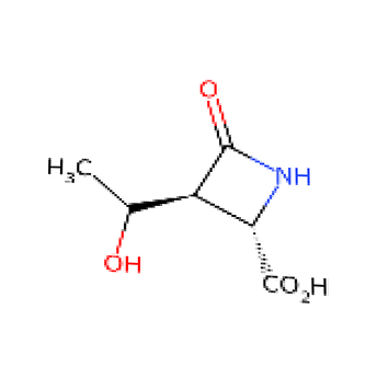 CC(O)[C@H]1C(=O)N[C@@H]1C(=O)O